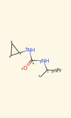 CCCC(C)NC(=O)NC1CC1